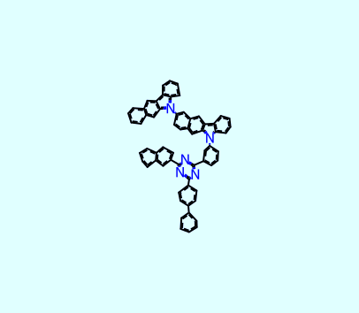 c1ccc(-c2ccc(-c3nc(-c4cccc(-n5c6ccccc6c6cc7cc(-n8c9ccccc9c9cc%10ccccc%10cc98)ccc7cc65)c4)nc(-c4ccc5ccccc5c4)n3)cc2)cc1